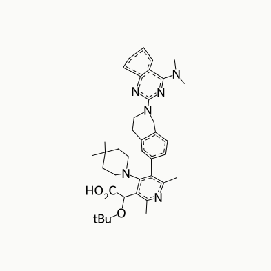 Cc1nc(C)c(C(OC(C)(C)C)C(=O)O)c(N2CCC(C)(C)CC2)c1-c1ccc2c(c1)CCN(c1nc(N(C)C)c3ccccc3n1)C2